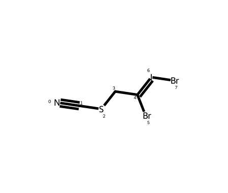 N#CSC/C(Br)=I/Br